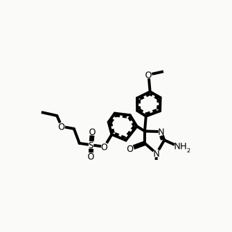 CCOCCS(=O)(=O)Oc1cccc(C2(c3ccc(OC)cc3)N=C(N)N(C)C2=O)c1